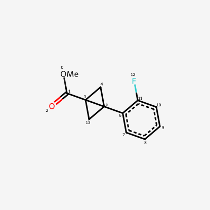 COC(=O)C12CC1(c1ccccc1F)C2